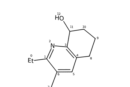 CCc1nc2c(cc1C)CCCC2O